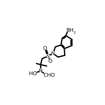 Bc1ccc2c(c1)CN(S(=O)(=O)CC(C)(C)N(O)C=O)CC2